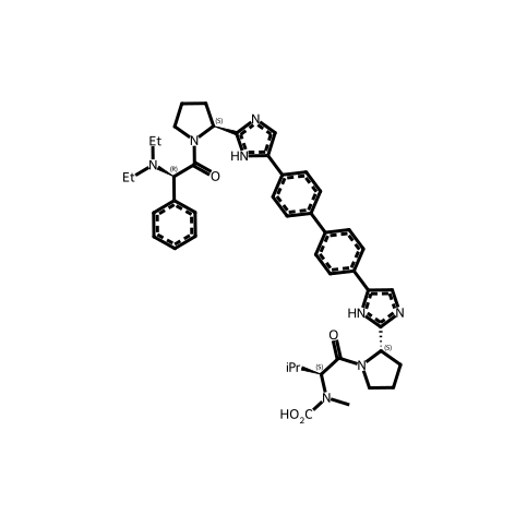 CCN(CC)[C@@H](C(=O)N1CCC[C@H]1c1ncc(-c2ccc(-c3ccc(-c4cnc([C@@H]5CCCN5C(=O)[C@H](C(C)C)N(C)C(=O)O)[nH]4)cc3)cc2)[nH]1)c1ccccc1